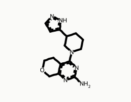 Nc1nc2c(c(N3CCCC(c4ccn[nH]4)C3)n1)CCOC2